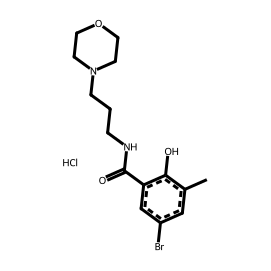 Cc1cc(Br)cc(C(=O)NCCCN2CCOCC2)c1O.Cl